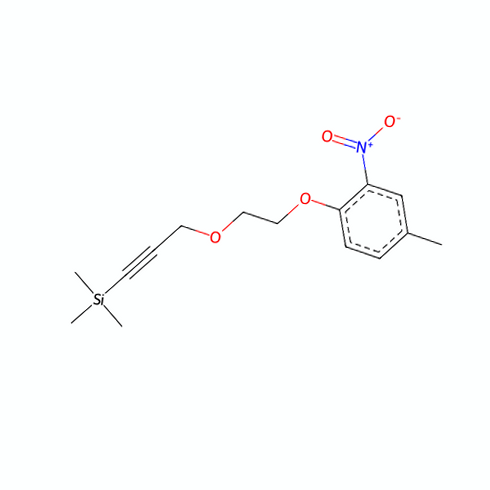 Cc1ccc(OCCOCC#C[Si](C)(C)C)c([N+](=O)[O-])c1